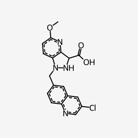 COc1ccc2c(n1)C(C(=O)O)NN2Cc1ccc2ncc(Cl)cc2c1